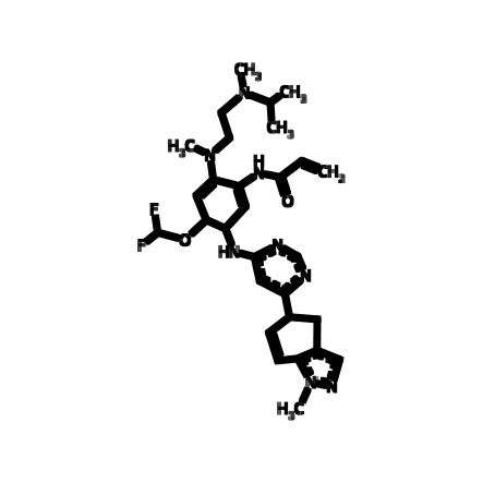 C=CC(=O)NC1=CC(Nc2cc(C3C=Cc4c(cnn4C)C3)ncn2)C(OC(F)F)C=C1N(C)CCN(C)C(C)C